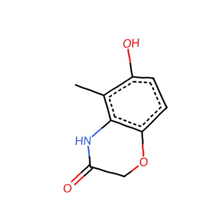 Cc1c(O)ccc2c1NC(=O)CO2